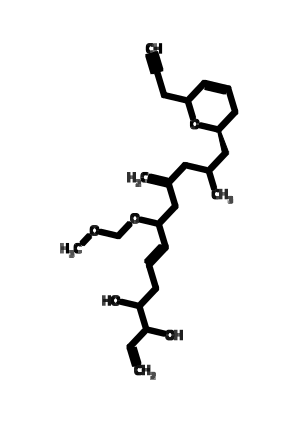 C#CCC1C=CC[C@@H](CC(C)CC(=C)CC(/C=C/CC(O)C(O)C=C)OCOC)O1